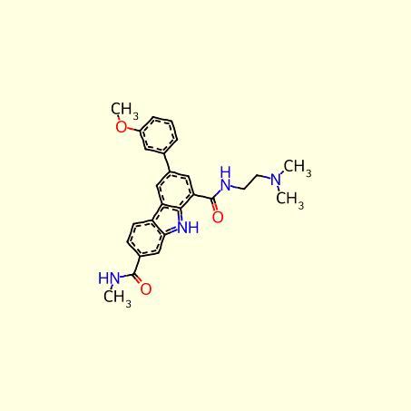 CNC(=O)c1ccc2c(c1)[nH]c1c(C(=O)NCCN(C)C)cc(-c3cccc(OC)c3)cc12